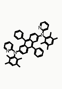 Cc1cc(C)c(C)c(N(c2ccc3c(-c4ccccc4)c4cc(N(c5ccccn5)c5c(C)c(C)cc(C)c5C)ccc4c(-c4ccccc4)c3c2)c2ccccn2)c1C